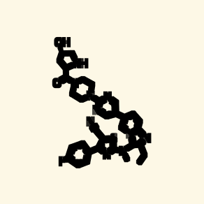 CCc1nc2ccc(-c3cnc(N4CCN(C(=O)C5C[C@@H](O)CN5)CC4)nc3)cn2c1N(C)c1nc(-c2ccc(F)cc2)c(C#N)s1